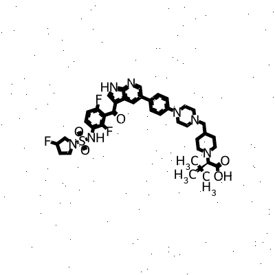 CC(C)(C)[C@H](C(=O)O)N1CCC(CN2CCN(c3ccc(-c4cnc5[nH]cc(C(=O)c6c(F)ccc(NS(=O)(=O)N7CCC(F)C7)c6F)c5c4)cc3)CC2)CC1